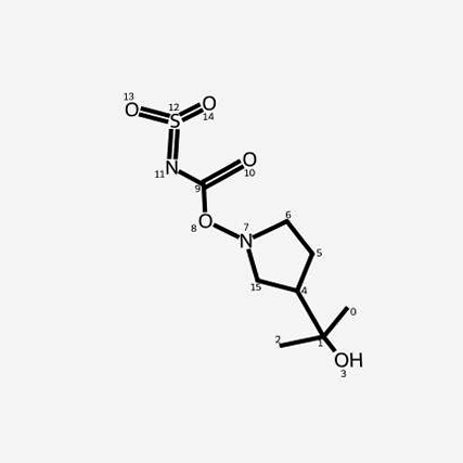 CC(C)(O)C1CCN(OC(=O)N=S(=O)=O)C1